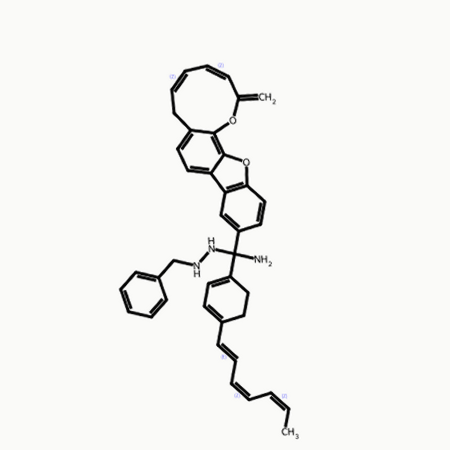 C=C1/C=C\C=C/Cc2ccc3c(oc4ccc(C(N)(NNCc5ccccc5)C5=CC=C(/C=C/C=C\C=C/C)CC5)cc43)c2O1